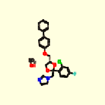 Fc1ccc([C@]2(Cn3ccnc3)OC[C@H](COc3ccc(-c4ccccc4)cc3)O2)c(Cl)c1.O=[N+]([O-])O